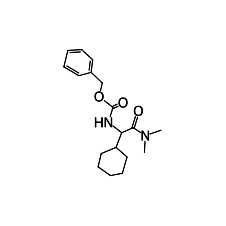 CN(C)C(=O)C(NC(=O)OCc1ccccc1)C1CCCCC1